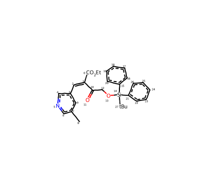 CCOC(=O)C(=Cc1cncc(C)c1)C(=O)CO[Si](c1ccccc1)(c1ccccc1)C(C)(C)C